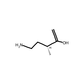 C=C(O)[C@H](C)CCN